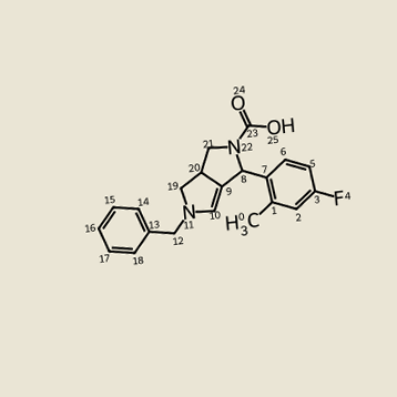 Cc1cc(F)ccc1C1C2=CN(Cc3ccccc3)CC2CN1C(=O)O